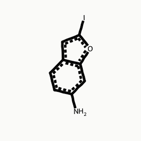 Nc1ccc2cc(I)oc2c1